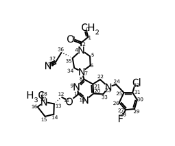 C=CC(=O)N1CCN(c2nc(OC[C@@H]3CCCN3C)nc3c2CN(Cc2cc(F)ccc2Cl)C3)C[C@@H]1CC#N